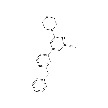 C=C1C=C(c2ccnc(Nc3ccccc3)n2)C=C(N2CCOCC2)N1